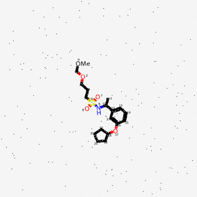 COCOCCCS(=O)(=O)NC(C)c1cccc(OC2CCCC2)c1